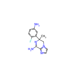 CC1(c2cc(N)ccc2F)Cn2ccnc2C(N)=N1